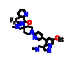 C=NCc1cnn2cc(OCC)cc(-c3ccc(N4CCC(CN(C)C)(NC(=O)c5ncccc5C(F)(F)F)CC4)nc3)c12